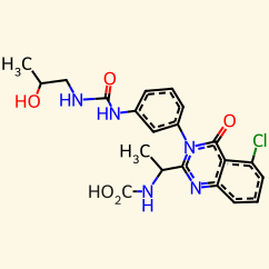 CC(O)CNC(=O)Nc1cccc(-n2c(C(C)NC(=O)O)nc3cccc(Cl)c3c2=O)c1